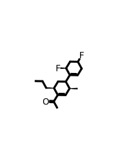 CCC[C@H]1CC(C2=CCC(F)C[C@@H]2F)[C@@H](C)C=C1C(C)=O